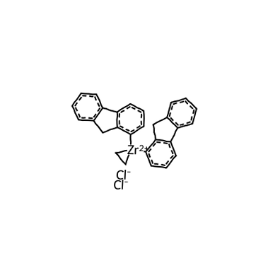 [Cl-].[Cl-].c1ccc2c(c1)Cc1c-2ccc[c]1[Zr+2]1([c]2cccc3c2Cc2ccccc2-3)[CH2][CH2]1